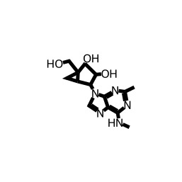 CNc1nc(C)nc2c1ncn2C1C(O)C(O)C2(CO)CC12